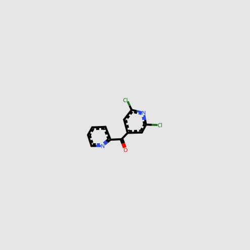 O=C(c1cc(Cl)nc(Cl)c1)c1ccccn1